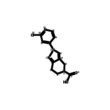 O=C(O)N1CCc2nn(-c3ccnc(Cl)c3)cc2C1